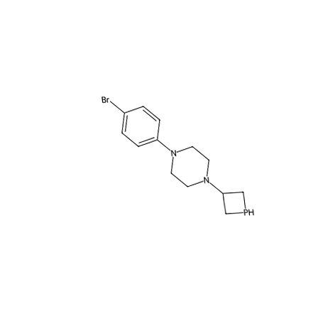 Brc1ccc(N2CCN(C3CPC3)CC2)cc1